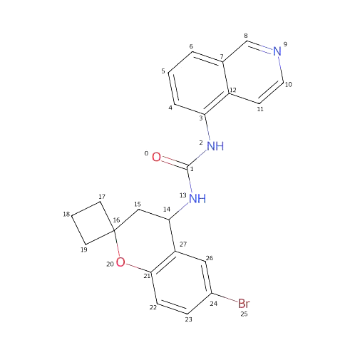 O=C(Nc1cccc2cnccc12)NC1CC2(CCC2)Oc2ccc(Br)cc21